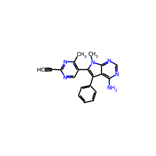 C#Cc1ncc(-c2c(-c3cc[c]cc3)c3c(N)ncnc3n2C)c(C)n1